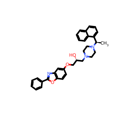 C[C@H](c1cccc2ccccc12)N1[CH]CN(C[C@@H](O)COc2ccc3oc(-c4ccccc4)nc3c2)CC1